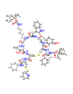 C[C@@H](O)[C@@H]1NC(=O)[C@H](CCCCCNC(=O)OC(C)(C)C)NC(=O)[C@@H](Cc2c[nH]c3ccccc23)NC(=O)[C@H](Cc2ccc(O)cc2)NC(=O)[C@@H](NC(=O)[C@@H](Cc2ccccc2)NC(=O)OC(C)(C)C)CSSC[C@@H](C(=O)N[C@@H](CSSc2ccccn2)C(=O)NC2CCCCC2)NC1=O